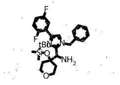 CC(C)(C)[Si](C)(C)OC1(C(N)c2nc(-c3cc(F)ccc3F)cn2Cc2ccccc2)CCOCC1